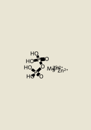 O=P(O)(O)OP(=O)(O)O.[Mg+2].[Zn+2].[Zn+2]